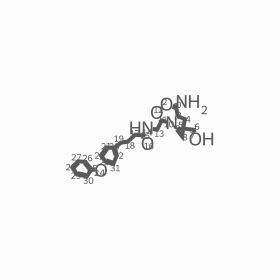 NC(=O)C1CC2(CO)CC2N1C(=O)CNC(=O)CCCc1ccc(Oc2ccccc2)cc1